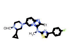 CCc1nc2ccc(N3CCN(C=O)C(C4CC4)C3)cn2c1N(C)c1nc(-c2ccc(F)cc2)cs1